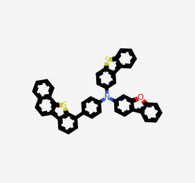 c1ccc2c(c1)ccc1c3cccc(-c4ccc(N(c5ccc6c(c5)oc5ccccc56)c5ccc6sc7ccccc7c6c5)cc4)c3sc21